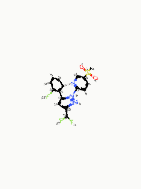 CS(=O)(=O)c1ccc(-n2nc(C(F)F)cc2-c2ccccc2F)nc1